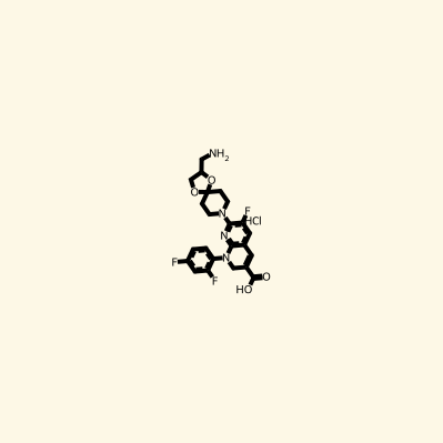 Cl.NCC1COC2(CCN(c3nc4c(cc3F)C=C(C(=O)O)CN4c3ccc(F)cc3F)CC2)O1